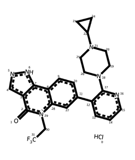 Cl.O=c1c2cn[nH]c2c2ccc(-c3cccnc3N3CCN(C4CC4)CC3)cc2n1CC(F)(F)F